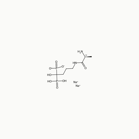 C[C@H](N)C(=O)NCCCC(O)(P(=O)([O-])[O-])P(=O)(O)O.[Na+].[Na+]